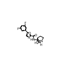 C[C@H]1[C@H](NC(=O)c2ncc(-c3cc(F)cc(F)c3)o2)C2CCN1CC2